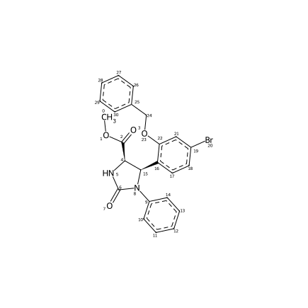 COC(=O)[C@@H]1NC(=O)N(c2ccccc2)[C@@H]1c1ccc(Br)cc1OCc1ccccc1